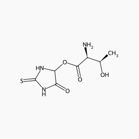 C[C@@H](O)[C@H](N)C(=O)OC1NC(=S)NC1=O